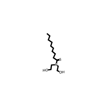 CCCCCCCCCC(=S)N(CCO)CCO